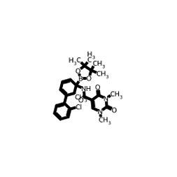 CC1C(c2ccccc2Cl)=CC=CC1(NC(=O)c1cn(C)c(=O)n(C)c1=O)B1OC(C)(C)C(C)(C)O1